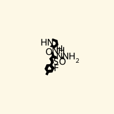 Cc1ccc(-c2cc(C(=O)N[C@H]3CCCNC3)c(NC(N)=O)s2)c(F)c1